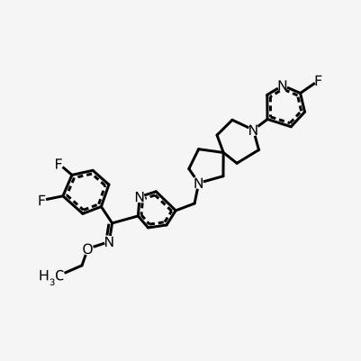 CCO/N=C(\c1ccc(F)c(F)c1)c1ccc(CN2CCC3(CCN(c4ccc(F)nc4)CC3)C2)cn1